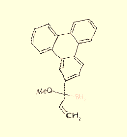 BC(C=C)(OC)c1ccc2c3ccccc3c3ccccc3c2c1